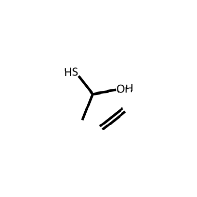 C=C.CC(O)S